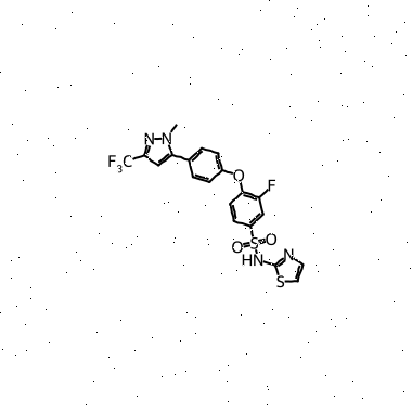 Cn1nc(C(F)(F)F)cc1-c1ccc(Oc2ccc(S(=O)(=O)Nc3nccs3)cc2F)cc1